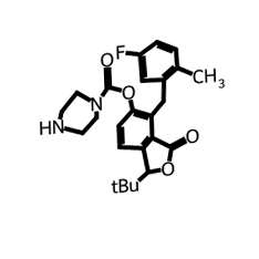 Cc1ccc(F)cc1Cc1c(OC(=O)N2CCNCC2)ccc2c1C(=O)OC2C(C)(C)C